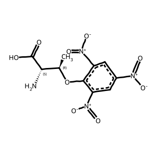 C[C@@H](Oc1c([N+](=O)[O-])cc([N+](=O)[O-])cc1[N+](=O)[O-])[C@H](N)C(=O)O